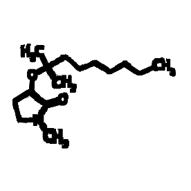 CCCCCCCC(C)(C)OC1CCN(C)C1=O